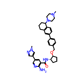 CN1CCN(C2CCCc3cc(-c4ccc(CO[C@H]5CCC[C@@H]5NC(=O)c5cc(-c6cnn(C)c6)cnc5N)cc4)ccc32)CC1